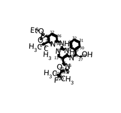 CCOB1OC(C)(C)c2nc(Nc3ncc(-c4nnc(C(C)(C)F)o4)c(N[C@H](CO)c4ccccc4)n3)ccc21